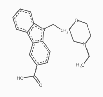 CCN1CCOCC1.CCn1c2ccccc2c2cc(C(=O)O)ccc21